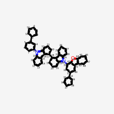 c1ccc(-c2cccc(-n3c4ccccc4c4c(-c5cccc6c5c5ccccc5n6-c5cc(-c6ccccc6)cc6c5oc5ccccc56)cccc43)c2)cc1